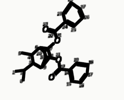 CC(C)C1C(C)C2CCC1C(OC(=O)c1ccccc1)C2OC(=O)c1ccccc1